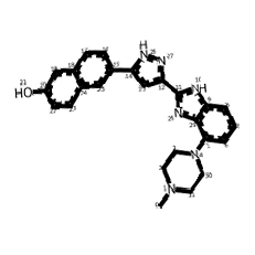 CN1CCN(c2cccc3[nH]c(-c4cc(-c5ccc6cc(O)ccc6c5)[nH]n4)nc23)CC1